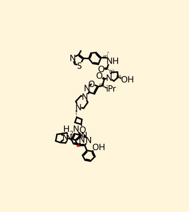 Cc1ncsc1-c1ccc([C@H](C)NC(=O)[C@@H]2C[C@@H](O)CN2C(=O)[C@H](c2cc(N3CCN(C[C@H]4C[C@H](Oc5cc(N6C7CCC6CN(c6cc(-c8ccccc8O)nnc6N)C7)ccn5)C4)CC3)no2)C(C)C)cc1